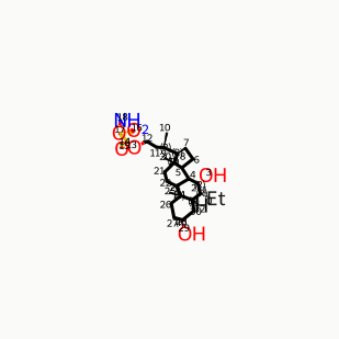 CC[C@H]1[C@@H](O)C2C3CC[C@H]([C@H](C)CCOS(=O)(=O)ON)[C@@]3(C)CCC2[C@@]2(C)CC[C@@H](O)C[C@@H]12